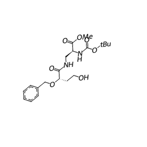 COC(=O)[C@H](CNC(=O)[C@H](CCO)OCc1ccccc1)NC(=O)OC(C)(C)C